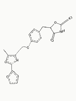 Cc1oc(-c2ccco2)nc1COc1ccc(CC2OC(=O)NC2=O)cc1